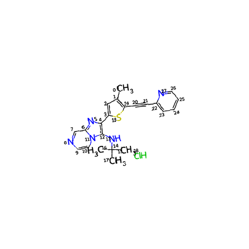 Cc1cc(-c2nc3cnccn3c2NC(C)(C)C)sc1C#Cc1ccccn1.Cl